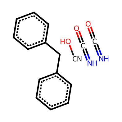 N#CO.N=C=O.N=C=O.c1ccc(Cc2ccccc2)cc1